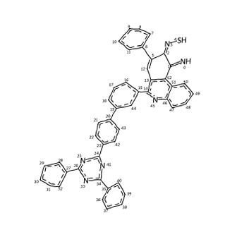 N=C1/C(=N\S)C(c2ccccc2)=Cc2c(-c3cccc(-c4ccc(-c5nc(-c6ccccc6)nc(-c6ccccc6)n5)cc4)c3)nc3ccccc3c21